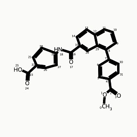 COC(=O)c1ccc(-c2cccc3ccc(C(=O)Nc4ccc(C(=O)O)cc4)cc23)cc1